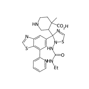 CCNC(=O)NN1SC=NC1(c1cc(-c2ccccn2)c2scnc2c1)C1CNCCC1(C)C(=O)O